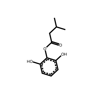 CC(C)CC(=O)Oc1c(O)cccc1O